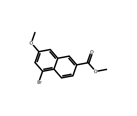 COC(=O)c1ccc2c(Br)cc(OC)cc2c1